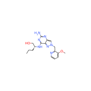 CCC[C@@H](CO)Nc1nc(N)nc2cn(Cc3ncccc3OC)nc12